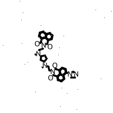 CN(CCN1C(=O)c2cccc3cccc(c23)C1=O)C1CCC(N(C)CCN2C(=O)c3cccc4c(N5C=NCC5)ccc(c34)C2=O)C1